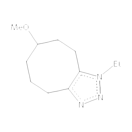 CCn1nnc2c1CCC(OC)CCC2